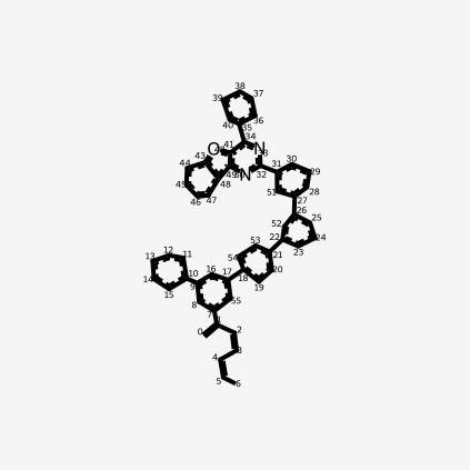 C=C(/C=C\C=C/C)c1cc(-c2ccccc2)cc(-c2ccc(-c3cccc(-c4cccc(-c5nc(-c6ccccc6)c6oc7ccccc7c6n5)c4)c3)cc2)c1